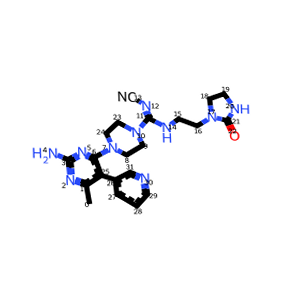 Cc1nc(N)nc(N2CCN(/C(=N\C#N)NCCN3CCNC3=O)CC2)c1-c1cccnc1